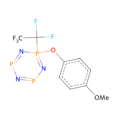 COc1ccc(OP2(C(F)(F)C(F)(F)F)=NP=NP=N2)cc1